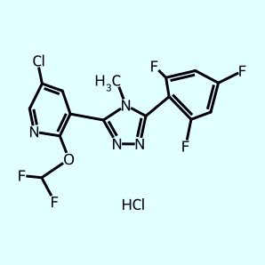 Cl.Cn1c(-c2cc(Cl)cnc2OC(F)F)nnc1-c1c(F)cc(F)cc1F